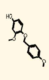 COc1ccc(COc2ccc(O)cc2OC)cc1